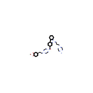 CN1CCN(CCCn2c3ccccc3c3ccc(C(=O)N4CCN(CCc5ccc6c(c5)OCO6)CC4)cc32)CC1